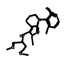 COCC(COC)Nc1c2c(nn1C)N(c1c(C)ccnc1C)CCC2